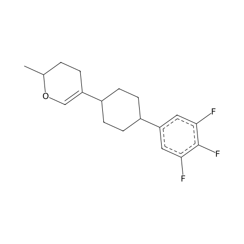 CC1CCC(C2CCC(c3cc(F)c(F)c(F)c3)CC2)=CO1